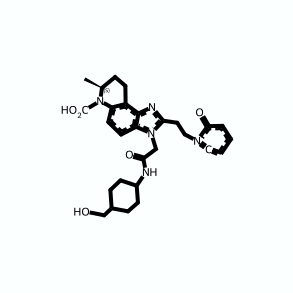 C[C@H]1CCc2c(ccc3c2nc(CCn2ccccc2=O)n3CC(=O)NC2CCC(CO)CC2)N1C(=O)O